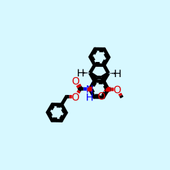 COC(=O)C1C(NC(=O)OCc2ccccc2)[C@H]2c3ccccc3[C@@H]1c1ccccc12